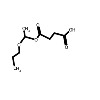 CCCOC(C)OC(=O)CCC(=O)O